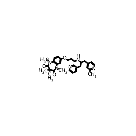 Cc1cc(CC(Cc2cccnc2)NCCCOc2ccc3c(c2)N(C)C(=O)C(C)(C)C(=O)N3C)ccn1